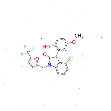 COc1ccc(O)c(C2C(=O)N(Cc3ccc(C(F)(F)F)o3)c3cccc(Cl)c32)n1